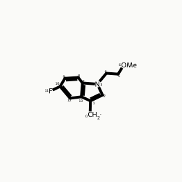 [CH2]c1cn(CCOC)c2ccc(F)cc12